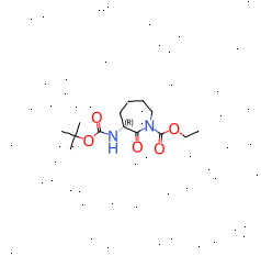 CCOC(=O)N1CCCC[C@@H](NC(=O)OC(C)(C)C)C1=O